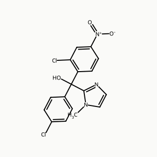 Cn1ccnc1C(O)(c1ccc(Cl)cc1)c1ccc([N+](=O)[O-])cc1Cl